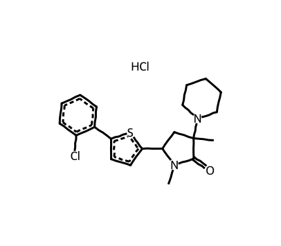 CN1C(=O)C(C)(N2CCCCC2)CC1c1ccc(-c2ccccc2Cl)s1.Cl